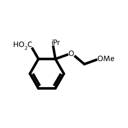 COCOC1(C(C)C)C=CC=CC1C(=O)O